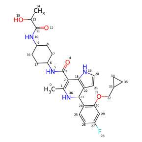 CC1=C(C(=O)NC2CCC(NC(=O)C(C)O)CC2)c2[nH]ccc2C(c2ccc(F)cc2OCC2CC2)N1